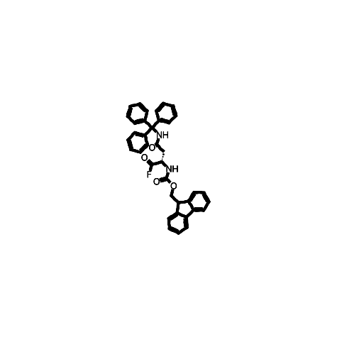 O=C(C[C@H](NC(=O)OCC1c2ccccc2-c2ccccc21)C(=O)F)NC(c1ccccc1)(c1ccccc1)c1ccccc1